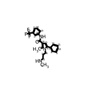 CNCCCn1c(-c2ccccc2)cc(C(=O)Nc2cccc(C(F)(F)F)c2)c1C